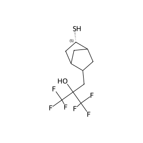 OC(CC1CC2CC1C[C@@H]2S)(C(F)(F)F)C(F)(F)F